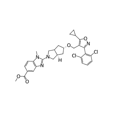 COC(=O)c1ccc2c(c1)nc(N1CC3C[C@H](OCc4c(-c5c(Cl)cccc5Cl)noc4C4CC4)C[C@H]3C1)n2C